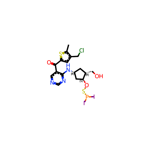 Cc1sc(C(=O)c2cncnc2N[C@@H]2C[C@H](CO)[C@@H](OSP(I)I)C2)cc1CCl